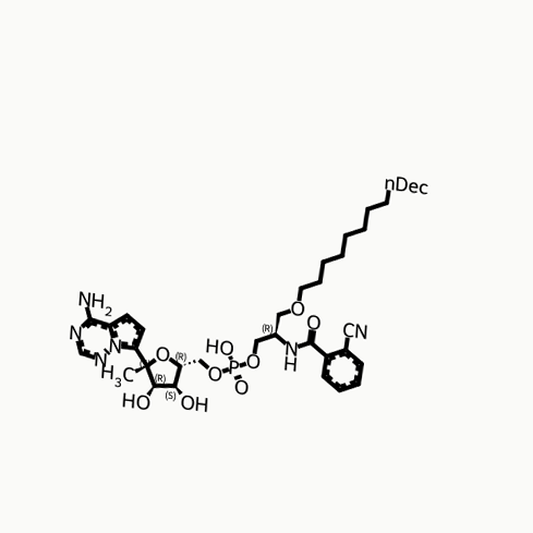 CCCCCCCCCCCCCCCCCCOC[C@H](COP(=O)(O)OC[C@H]1O[C@@](C)(c2ccc3c(N)ncnn23)[C@H](O)[C@@H]1O)NC(=O)c1ccccc1C#N